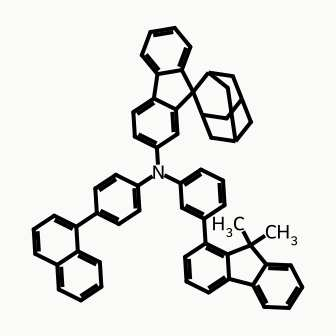 CC1(C)c2ccccc2-c2cccc(-c3cccc(N(c4ccc(-c5cccc6ccccc56)cc4)c4ccc5c(c4)C4(c6ccccc6-5)C5CC6CC(C5)CC4C6)c3)c21